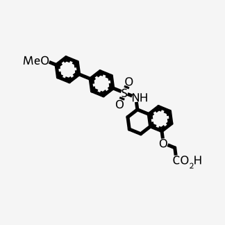 COc1ccc(-c2ccc(S(=O)(=O)NC3CCCc4c(OCC(=O)O)cccc43)cc2)cc1